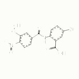 COc1cc(C(=O)Nc2ccc(Br)cc2C(=O)O)ccc1[N+](=O)[O-]